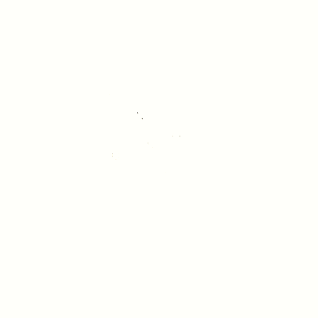 CC[C@H]1CN1S(=O)(=O)c1ccc(C)cc1